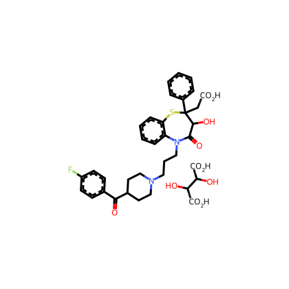 O=C(O)C(O)C(O)C(=O)O.O=C(O)CC1(c2ccccc2)Sc2ccccc2N(CCCN2CCC(C(=O)c3ccc(F)cc3)CC2)C(=O)C1O